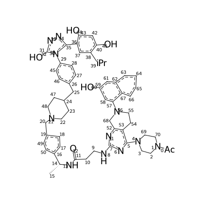 CC(=O)N1CCN(c2nc(NCCC(=O)N[C@H](C)c3ccc(CN4CCC(Cc5ccc(-n6c(O)nnc6-c6cc(C(C)C)c(O)cc6O)cc5)CC4)cc3)nc3c2CCN(c2cc(O)cc4ccccc24)C3)CC1